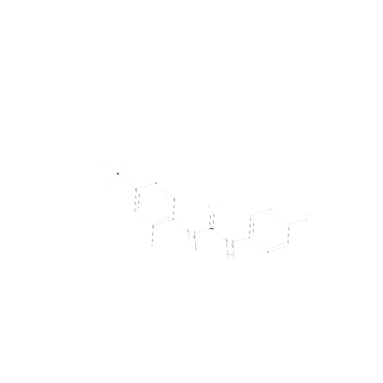 Cc1cc(C(C)(C)C)ccc1NC(=O)Nc1ccc(F)cc1